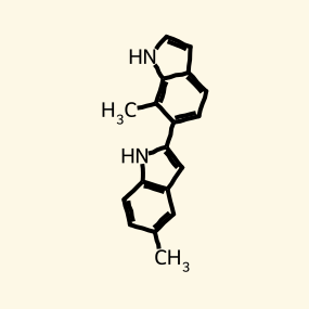 Cc1ccc2[nH]c(-c3ccc4cc[nH]c4c3C)cc2c1